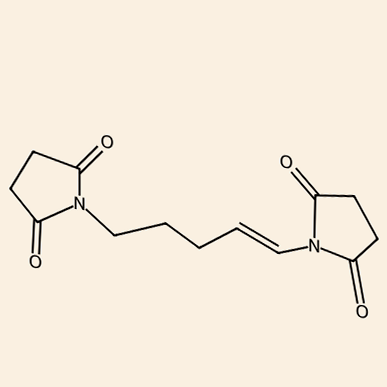 O=C1CCC(=O)N1C=CCCCN1C(=O)CCC1=O